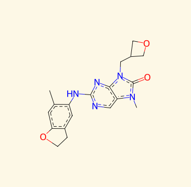 Cc1cc2c(cc1Nc1ncc3c(n1)n(CC1COC1)c(=O)n3C)CCO2